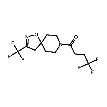 O=C(CCC(F)(F)F)N1CCC2(CC1)CC(C(F)(F)F)=NO2